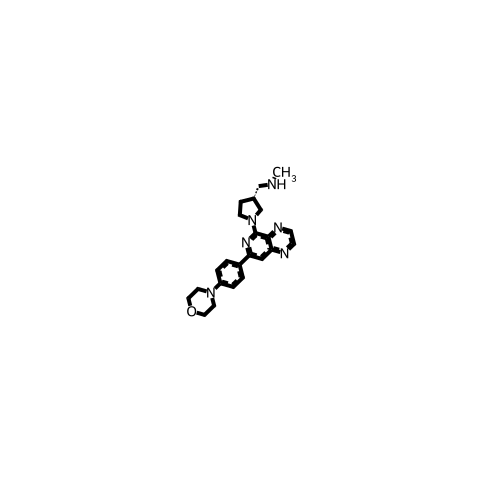 CNC[C@H]1CCN(c2nc(-c3ccc(N4CCOCC4)cc3)cc3nccnc23)C1